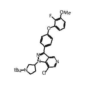 COc1cccc(Oc2ccc(-c3nn(C4CCN(C(C)(C)C)C4)c4c(Cl)cncc34)cc2)c1F